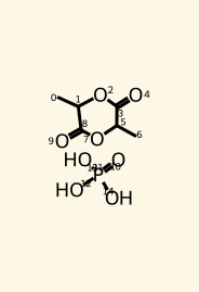 CC1OC(=O)C(C)OC1=O.O=P(O)(O)O